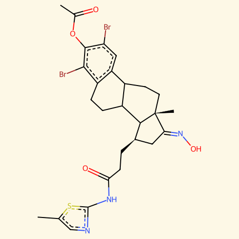 CC(=O)Oc1c(Br)cc2c(c1Br)CCC1C2CC[C@]2(C)/C(=N/O)C[C@@H](CCC(=O)Nc3ncc(C)s3)C12